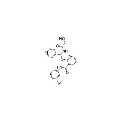 CC(C)c1cccc(NC(=O)c2cccnc2SC(NC(=O)CO)c2ccncc2)c1